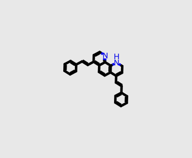 C1=C(/C=C/c2ccccc2)c2ccc3c(/C=C/c4ccccc4)ccnc3c2NC1